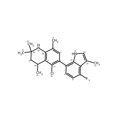 Cc1cc(-c2ccc(F)c3c(C)c[nH]c23)c(Cl)c2c1NC(C)(C)CC2C